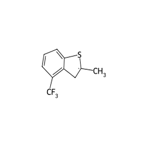 C[C]1Cc2c(cccc2C(F)(F)F)S1